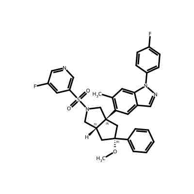 CO[C@]1(c2ccccc2)C[C@@H]2CN(S(=O)(=O)c3cncc(F)c3)C[C@]2(c2cc3cnn(-c4ccc(F)cc4)c3cc2C)C1